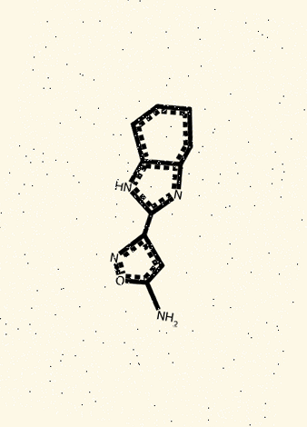 Nc1cc(-c2nc3ccccc3[nH]2)no1